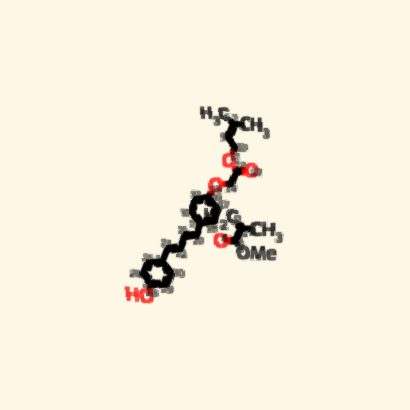 C=C(C)C(=O)OC.CC(C)=CCOC(=O)COc1ccc(C=CC=Cc2ccc(O)cc2)cc1